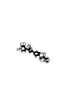 CN(C(=O)c1cscn1)c1ccc(-c2cc(C3C=CNCC3)c(C(=O)O)s2)cc1